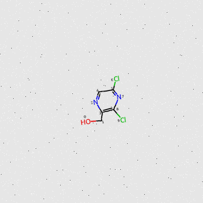 OCc1ncc(Cl)nc1Cl